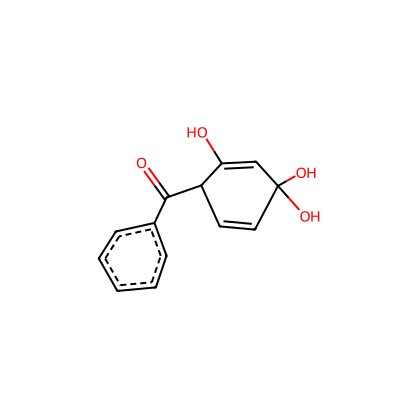 O=C(c1ccccc1)C1C=CC(O)(O)C=C1O